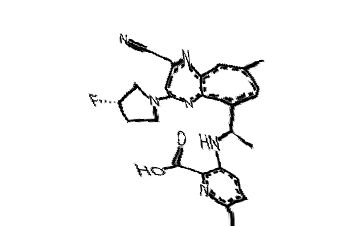 Cc1cc([C@@H](C)Nc2ccc(Cl)nc2C(=O)O)c2nc(N3CC[C@H](F)C3)c(C#N)nc2c1